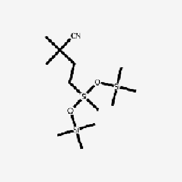 CC(C)(C#N)CC[Si](C)(O[Si](C)(C)C)O[Si](C)(C)C